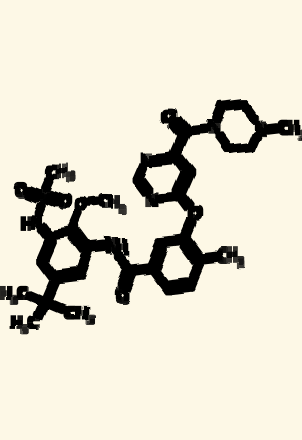 COc1c(NC(=O)c2ccc(C)c(Oc3cc(C(=O)N4CCN(C)CC4)ncn3)c2)cc(C(C)(C)C)cc1NS(C)(=O)=O